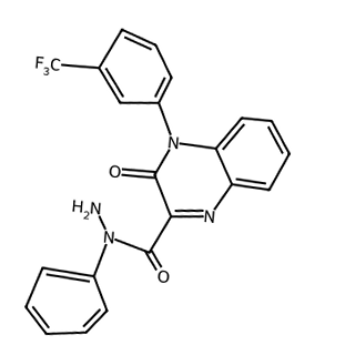 NN(C(=O)c1nc2ccccc2n(-c2cccc(C(F)(F)F)c2)c1=O)c1ccccc1